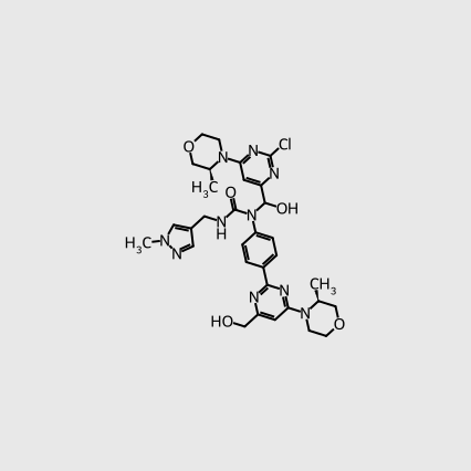 C[C@H]1COCCN1c1cc(C(O)N(C(=O)NCc2cnn(C)c2)c2ccc(-c3nc(CO)cc(N4CCOC[C@@H]4C)n3)cc2)nc(Cl)n1